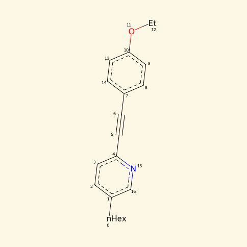 CCCCCCc1ccc(C#Cc2ccc(OCC)cc2)nc1